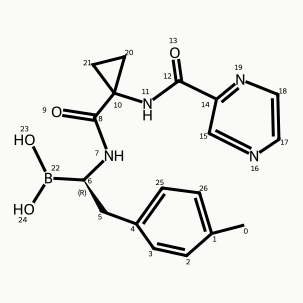 Cc1ccc(C[C@H](NC(=O)C2(NC(=O)c3cnccn3)CC2)B(O)O)cc1